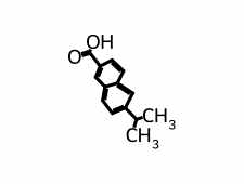 CC(C)c1ccc2cc(C(=O)O)ccc2c1